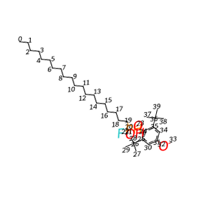 CCCCCCCCCCCCCCCCCCCC[PH](O)(F)Oc1c(C(C)(C)C)cc(OC)cc1C(C)(C)C